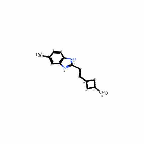 CC(C)(C)c1ccc2[nH]c(CCC3CC(C=O)C3)nc2c1